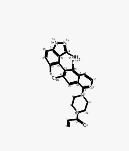 C=CC(=O)N1CCN(c2nccc3c(F)c(-c4c(C)ccc5[nH]nc(N)c45)c(Cl)cc23)CC1